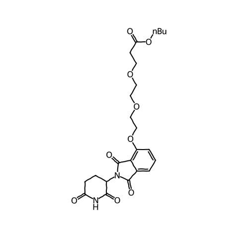 CCCCOC(=O)CCOCCOCCOc1cccc2c1C(=O)N(C1CCC(=O)NC1=O)C2=O